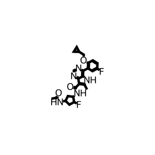 CC(=O)NC1CC(F)C(NC(=O)c2c(C)[nH]c3c(-c4cc(F)ccc4OCC4CC4)ncnc23)C1